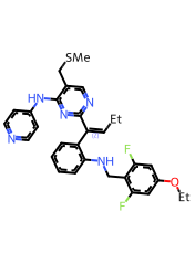 CC/C=C(\c1ncc(CSC)c(Nc2ccncc2)n1)c1ccccc1NCc1c(F)cc(OCC)cc1F